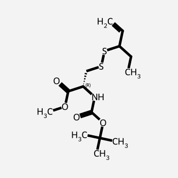 C=CC(CC)SSC[C@H](NC(=O)OC(C)(C)C)C(=O)OC